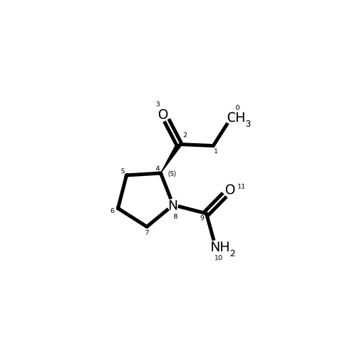 CCC(=O)[C@@H]1CCCN1C(N)=O